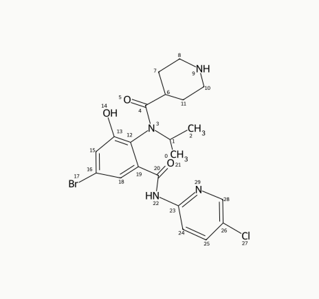 CC(C)N(C(=O)C1CCNCC1)c1c(O)cc(Br)cc1C(=O)Nc1ccc(Cl)cn1